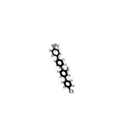 CCCC1CCC(c2ccc(-c3ccc(-c4ccc(CC)cc4)cc3F)cc2)CC1